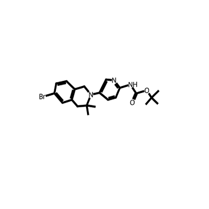 CC(C)(C)OC(=O)Nc1ccc(N2Cc3ccc(Br)cc3CC2(C)C)cn1